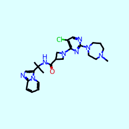 CN1CCCN(c2ncc(Cl)c(N3CC(C(=O)NC(C)(C)c4cnc5ccccn45)C3)n2)CC1